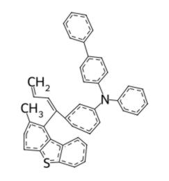 C=C/C=C(/c1cccc(N(c2ccccc2)c2ccc(-c3ccccc3)cc2)c1)c1c(C)ccc2sc3ccccc3c12